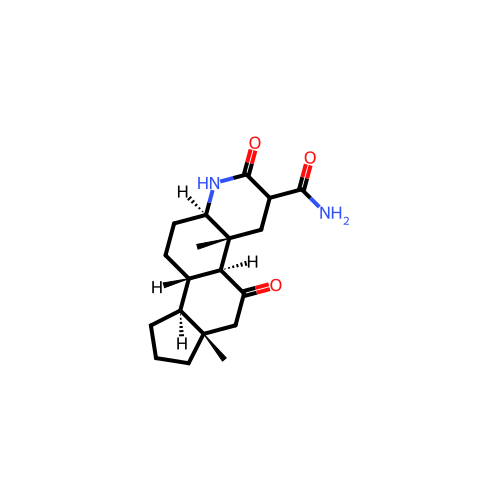 C[C@@]12CCC[C@H]1[C@@H]1CC[C@H]3NC(=O)C(C(N)=O)C[C@]3(C)[C@H]1C(=O)C2